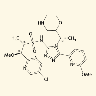 COc1cccc(-c2nnc(NS(=O)(=O)[C@@H](C)[C@H](OC)c3ncc(Cl)cn3)n2[C@@H](C)C2CNCCO2)n1